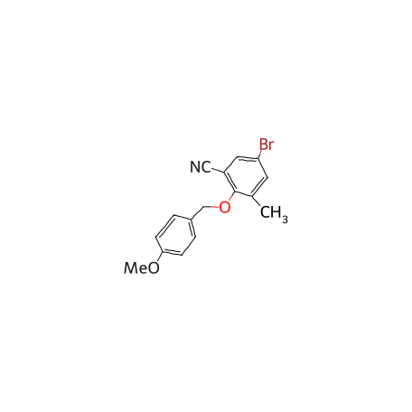 COc1ccc(COc2c(C)cc(Br)cc2C#N)cc1